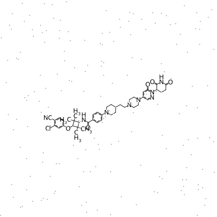 CC1(C)[C@H](NC(=O)c2ccc(N3CCC(CCN4CCN(c5cnn(C6CCC(=O)NC6=O)c(=O)c5)CC4)CC3)cc2)C(C)(C)[C@H]1Oc1ccc(C#N)c(Cl)c1